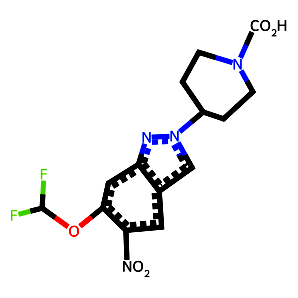 O=C(O)N1CCC(n2cc3cc([N+](=O)[O-])c(OC(F)F)cc3n2)CC1